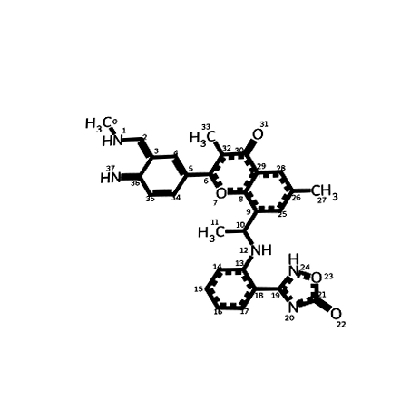 CN/C=C1/C=C(c2oc3c(C(C)Nc4ccccc4-c4nc(=O)o[nH]4)cc(C)cc3c(=O)c2C)C=CC1=N